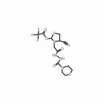 N#CC1CSC(OC(=O)C(F)(F)F)N1CC(=O)NNC(=O)N1CCOCC1